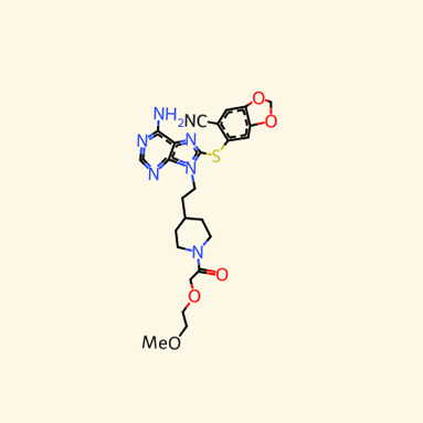 COCCOCC(=O)N1CCC(CCn2c(Sc3cc4c(cc3C#N)OCO4)nc3c(N)ncnc32)CC1